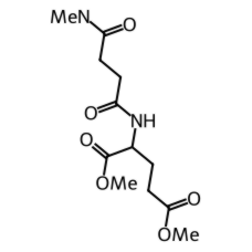 CNC(=O)CCC(=O)NC(CCC(=O)OC)C(=O)OC